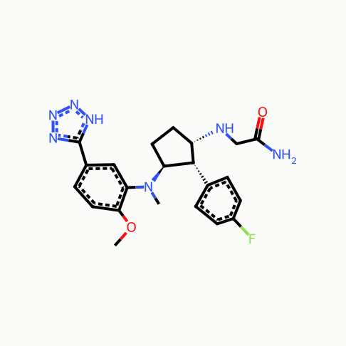 COc1ccc(-c2nnn[nH]2)cc1N(C)[C@H]1CC[C@H](NCC(N)=O)[C@@H]1c1ccc(F)cc1